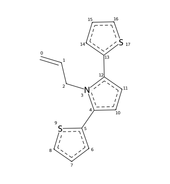 C=CCn1c(-c2cccs2)ccc1-c1cccs1